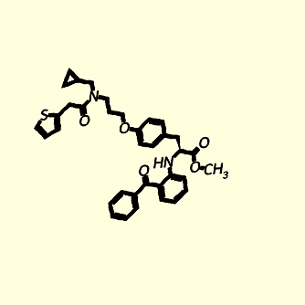 COC(=O)[C@H](Cc1ccc(OCCCN(CC2CC2)C(=O)Cc2cccs2)cc1)Nc1ccccc1C(=O)c1ccccc1